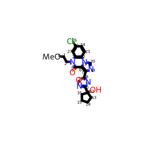 COCCn1c(=O)c2c(-c3nc(C4(O)CCCC4)no3)ncn2c2ccc(Cl)cc21